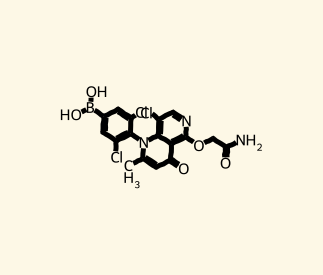 Cc1cc(=O)c2c(OCC(N)=O)ncc(Cl)c2n1-c1c(Cl)cc(B(O)O)cc1Cl